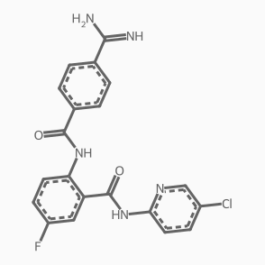 N=C(N)c1ccc(C(=O)Nc2ccc(F)cc2C(=O)Nc2ccc(Cl)cn2)cc1